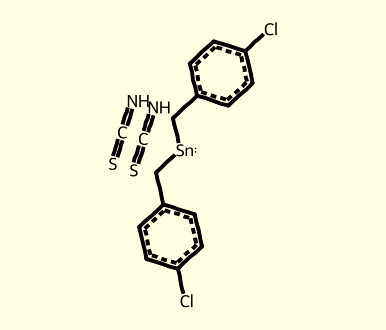 Clc1ccc([CH2][Sn][CH2]c2ccc(Cl)cc2)cc1.N=C=S.N=C=S